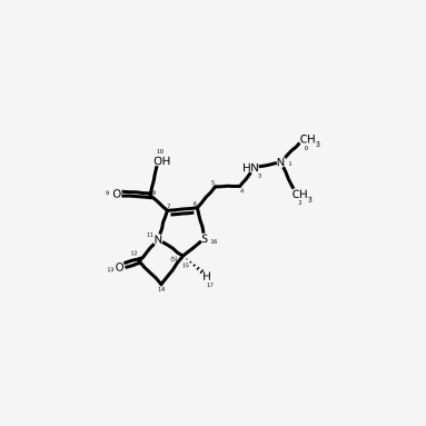 CN(C)NCCC1=C(C(=O)O)N2C(=O)C[C@@H]2S1